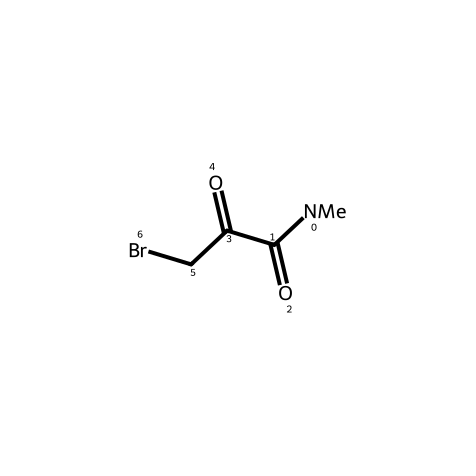 CNC(=O)C(=O)CBr